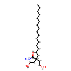 CCCCCCCCCCCCCCCCC(CCO)(CCO)C(N)=O